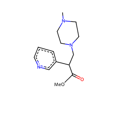 COC(=O)C(CN1CCN(C)CC1)c1cccnc1